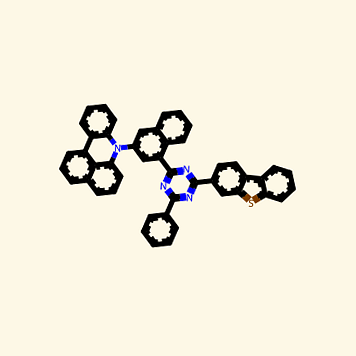 c1ccc(-c2nc(-c3ccc4c(c3)sc3ccccc34)nc(-c3cc(N4c5ccccc5-c5cccc6cccc4c56)cc4ccccc34)n2)cc1